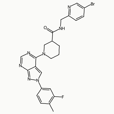 Cc1ccc(-n2cc3c(N4CCCC(C(=O)NCc5ccc(Br)cn5)C4)ncnc3n2)cc1F